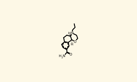 CCCN1CCO[C@H]2c3cc(C(N)=O)ccc3CC[C@@H]21